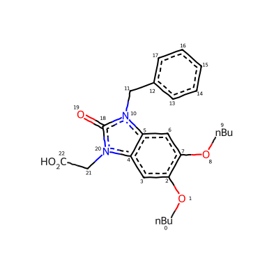 CCCCOc1cc2c(cc1OCCCC)n(Cc1ccccc1)c(=O)n2CC(=O)O